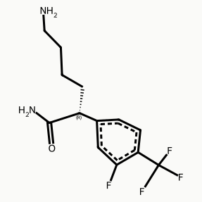 NCCCC[C@@H](C(N)=O)c1ccc(C(F)(F)F)c(F)c1